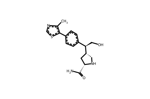 Cc1ncsc1-c1ccc([C@@H](CO)[C@@H]2CN[C@H](C(N)=O)C2)cc1